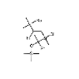 CCC(C)[Si](C)(C)C(CC)C[Si](C)(O)C(C)(CC)O[Si](C)(C)C